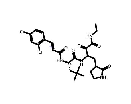 CCNC(=O)C(=O)C(CC1CCNC1=O)NC(=O)[C@H](CC(C)(C)C)NC(=O)/C=C/c1ccc(Cl)cc1Cl